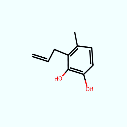 C=CCc1c(C)ccc(O)c1O